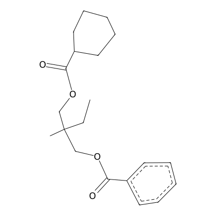 CCC(C)(COC(=O)c1ccccc1)COC(=O)C1CCCCC1